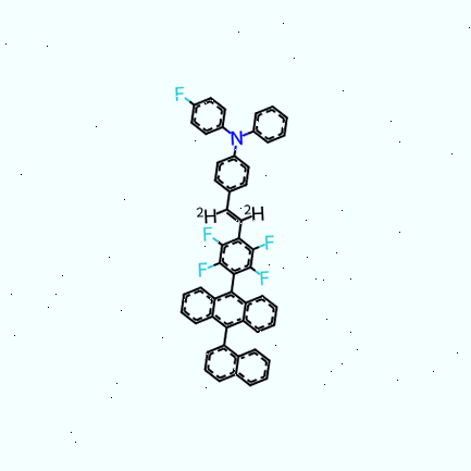 [2H]/C(=C(/[2H])c1c(F)c(F)c(-c2c3ccccc3c(-c3cccc4ccccc34)c3ccccc23)c(F)c1F)c1ccc(N(c2ccccc2)c2ccc(F)cc2)cc1